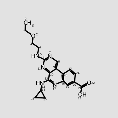 CCOCCNc1ncc2c(n1)c(NC1CC1)nc1cc(C(=O)O)ccc12